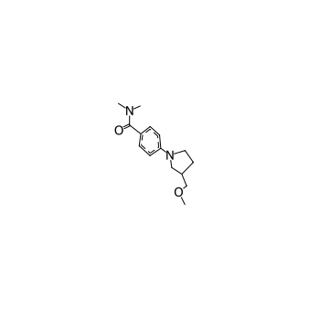 COCC1CCN(c2ccc(C(=O)N(C)C)cc2)C1